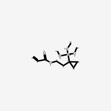 C=CC(=O)OCCC1([Si](OC)(OC)OC)CC1